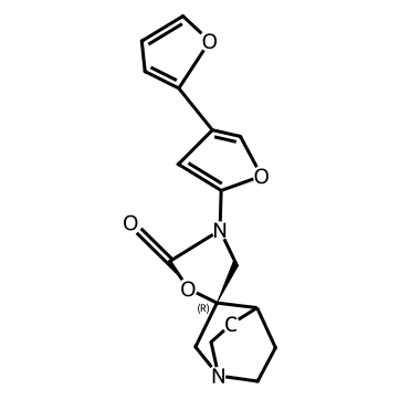 O=C1O[C@]2(CN3CCC2CC3)CN1c1cc(-c2ccco2)co1